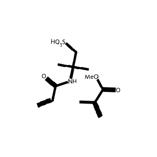 C=C(C)C(=O)OC.C=CC(=O)NC(C)(C)CS(=O)(=O)O